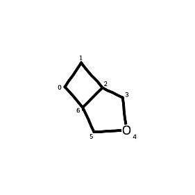 C1CC2COC[C]12